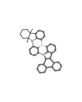 CC12CCCCC1(C)N1c3cccc4c3B(c3cccc2c31)c1cccc2c3c5ccccc5c5ccccc5c3n-4c12